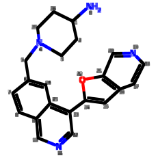 NC1CCN(Cc2ccc3cncc(-c4cc5ccncc5o4)c3c2)CC1